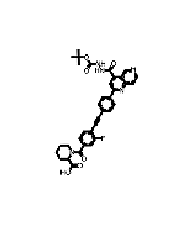 CC(C)(C)OC(=O)NNC(=O)c1cc(-c2ccc(C#Cc3ccc(C(=O)N4CCCCC4C(=O)O)cc3F)cc2)nc2ccncc12